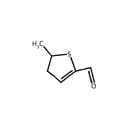 CC1CC=C(C=O)S1